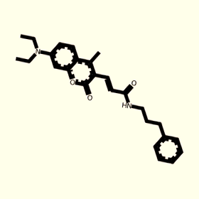 CCN(CC)c1ccc2c(C)c(C=CC(=O)NCCCc3ccccc3)c(=O)oc2c1